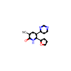 N#Cc1cc(-c2ccncn2)c(-c2ccco2)[nH]c1=O